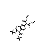 CCOC(=O)C(C(=O)OCC)c1ncc(N(C(=O)OC(C)(C)C)C(=O)OC(C)(C)C)c(Cl)n1